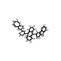 C1=Cc2ccc(-c3cccc(-c4c5ccccc5c(-c5ccc6sc7ccccc7c6c5)c5ccccc45)c3)cc2C=CC1